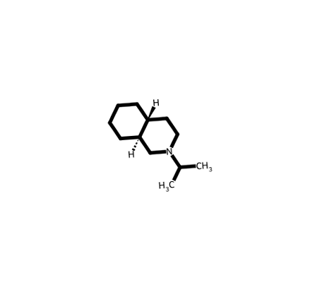 CC(C)N1CC[C@H]2CCCC[C@@H]2C1